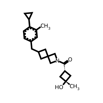 Cc1cc(CC2CC3(C2)CN(C(=O)[C@H]2C[C@@](C)(O)C2)C3)ccc1C1CC1